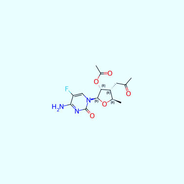 CC(=O)C[C@H]1[C@@H](OC(C)=O)[C@H](n2cc(F)c(N)nc2=O)O[C@@H]1C